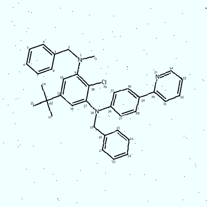 CN(Cc1ccccc1)c1cc(C(C)(C)C)cc(N(Cc2ccccc2)c2ccc(-c3ccccn3)cc2)c1Cl